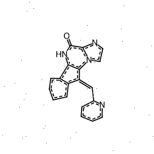 O=c1[nH]c2c3ccccc3/c(=C\c3ccccn3)c2n2ccnc12